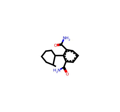 CC1CCCCC1c1c(C(N)=O)cccc1C(N)=O